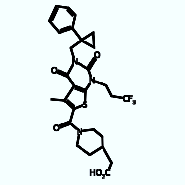 Cc1c(C(=O)N2CCC(CC(=O)O)CC2)sc2c1c(=O)n(CC1(c3ccccc3)CC1)c(=O)n2CCC(F)(F)F